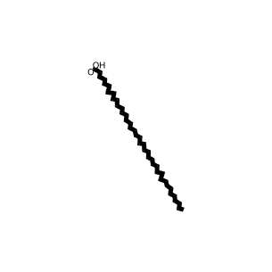 CCCCCCCCCCCCCCCCCCCCCCCCCCCCCCCCCCCCCCCC(=O)O